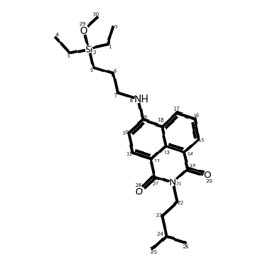 CC[Si](CC)(CCCNc1ccc2c3c(cccc13)C(=O)N(CCC(C)C)C2=O)OC